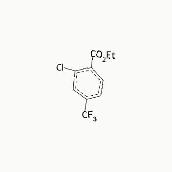 CCOC(=O)c1ccc(C(F)(F)F)cc1Cl